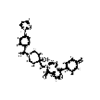 O=C(c1ccc(-n2cccn2)cc1)N1CCC(O)(Cn2cnn3c(-c4ccc(F)cc4)ncc3c2=O)CC1